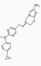 CN(c1ccc(C2CC2)cc1)c1ncc(CO[C@@H]2COc3nc([N+](=O)[O-])cn3C2)cn1